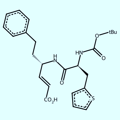 CC(C)(C)OC(=O)N[C@@H](Cc1cccs1)C(=O)N[C@H](/C=C/C(=O)O)CCc1ccccc1